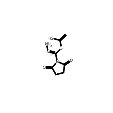 C=C(S)S/C(=N\N)N1C(=O)CCC1=O